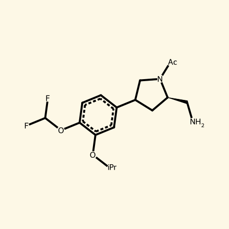 CC(=O)N1CC(c2ccc(OC(F)F)c(OC(C)C)c2)C[C@@H]1CN